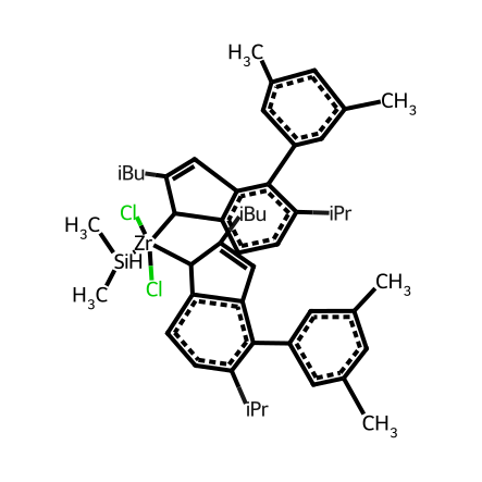 CCC(C)C1=Cc2c(ccc(C(C)C)c2-c2cc(C)cc(C)c2)[CH]1[Zr]([Cl])([Cl])([CH]1C(C(C)CC)=Cc2c1ccc(C(C)C)c2-c1cc(C)cc(C)c1)[SiH](C)C